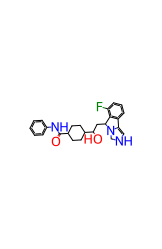 O=C(Nc1ccccc1)C1CCC(C(O)CC2c3c(F)cccc3C3=CNCN32)CC1